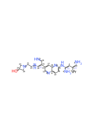 CC(C)C(=C/N)/C=C(\N)Nc1ccc2ncc(/C(C=N)=C/NCCN3CC(O)C3)cc2n1